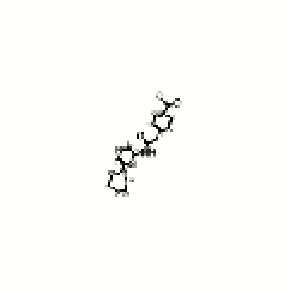 O=C(Cc1ccc(C(=O)O)cc1)Nc1cncc(N2CCCCC2)n1